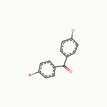 O=C(c1ccc(Cl)cc1)c1ccc(Br)cc1